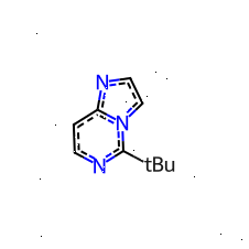 CC(C)(C)c1nccc2nccn12